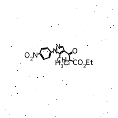 CCOC(=O)C(C)C(=O)c1cnn(-c2ccc([N+](=O)[O-])cc2)c1C